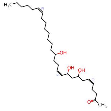 CCCCC/C=C\CCCCCCCC(O)CC/C=C\C(O)CC(O)C/C=C\CCC(C)=O